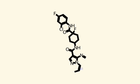 C=Nc1c(C(=O)NC2CCC(F)(C(=O)Nc3ccc(F)cc3Cl)CC2)cnn1/C=C\C